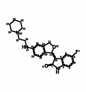 O=C1Nc2ccc(F)cc2/C1=C1\OCc2cc(NCCN3CCCCC3)ccc21